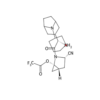 N#C[C@@H]1C[C@@H]2C[C@@]2(OC(=O)C(F)(F)F)N1C(=O)[C@@H](N)C1CC2CCC(C1)N2C1CCCCC1